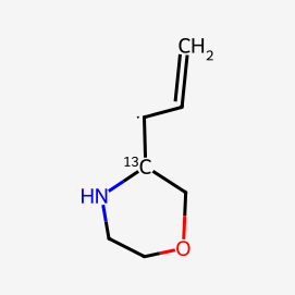 C=C[CH][13CH]1COCCN1